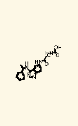 CC(Nc1ncnc2ccc(NC(=O)CCNC(=O)O)cc12)c1ccccc1